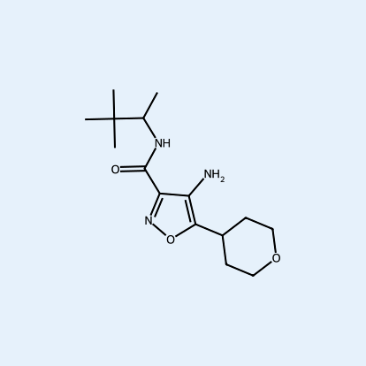 CC(NC(=O)c1noc(C2CCOCC2)c1N)C(C)(C)C